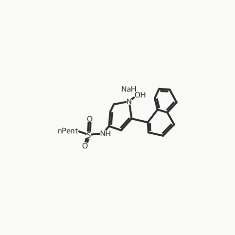 CCCCCS(=O)(=O)NC1=CCN(O)C(c2cccc3ccccc23)=C1.[NaH]